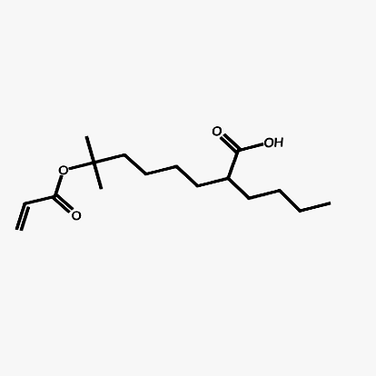 C=CC(=O)OC(C)(C)CCCCC(CCCC)C(=O)O